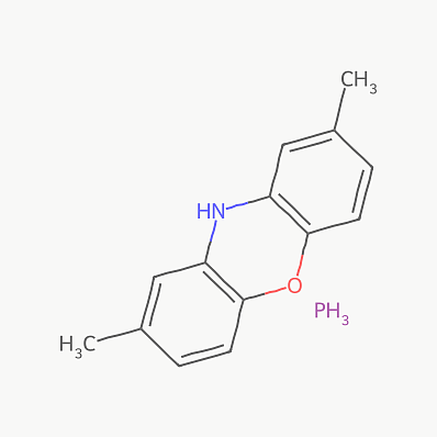 Cc1ccc2c(c1)Nc1cc(C)ccc1O2.P